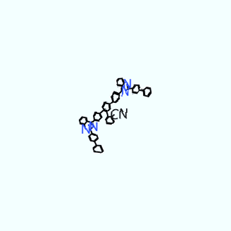 N#Cc1ccccc1-c1cc(-c2ccc(-c3nc(-c4ccc(-c5ccccc5)cc4)nc4ccccc34)cc2)ccc1-c1ccc(-c2nc(-c3ccc(-c4ccccc4)cc3)nc3ccccc23)cc1